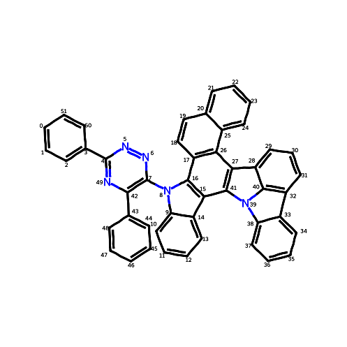 c1ccc(-c2nnc(-n3c4ccccc4c4c3c3ccc5ccccc5c3c3c5cccc6c7ccccc7n(c65)c34)c(-c3ccccc3)n2)cc1